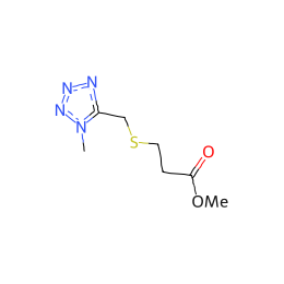 COC(=O)CCSCc1nnnn1C